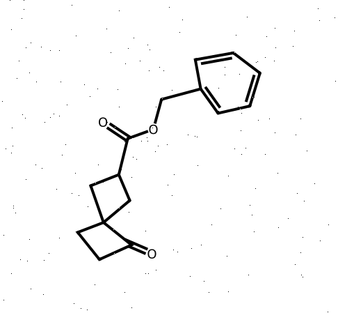 O=C(OCc1ccccc1)C1CC2(CCC2=O)C1